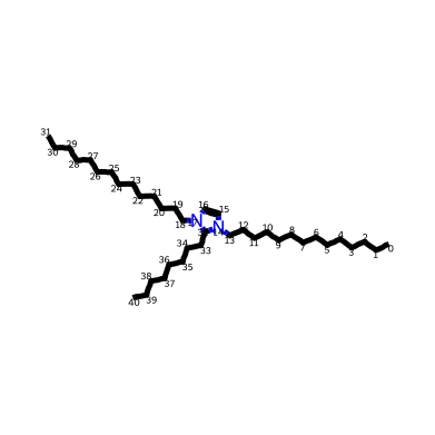 CCCCCCCCCCCCCCN1C=CN(CCCCCCCCCCCCCC)C1CCCCCCCC